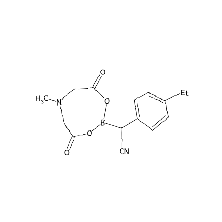 CCc1ccc(C(C#N)B2OC(=O)CN(C)CC(=O)O2)cc1